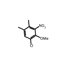 COc1c(Cl)cc(C)c(C)c1[N+](=O)[O-]